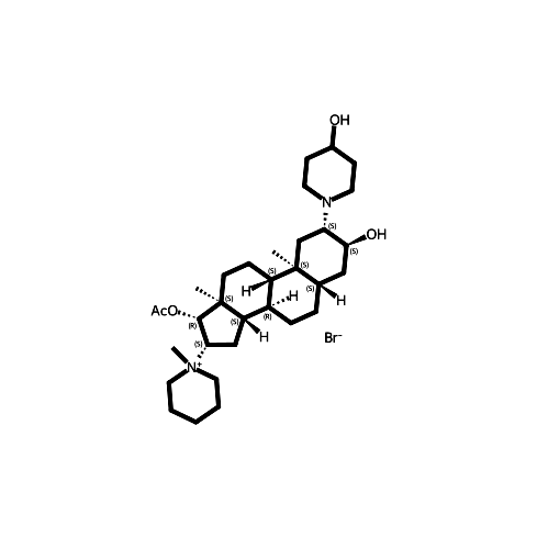 CC(=O)O[C@H]1[C@@H]([N+]2(C)CCCCC2)C[C@H]2[C@@H]3CC[C@H]4C[C@H](O)[C@@H](N5CCC(O)CC5)C[C@]4(C)[C@H]3CC[C@@]21C.[Br-]